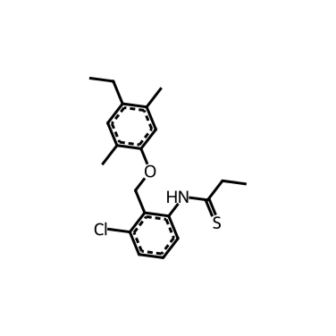 CCC(=S)Nc1cccc(Cl)c1COc1cc(C)c(CC)cc1C